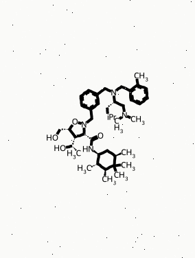 Cc1ccccc1CN(Cc1cccc(CN2O[C@@H](CO)[C@@H]([C@H](C)O)[C@H]2C(=O)N[C@H]2C[C@@H](C)C(C)(C)[C@@H](C)[C@@H]2C)c1)[C@@H](CC(C)C)CN(C)C